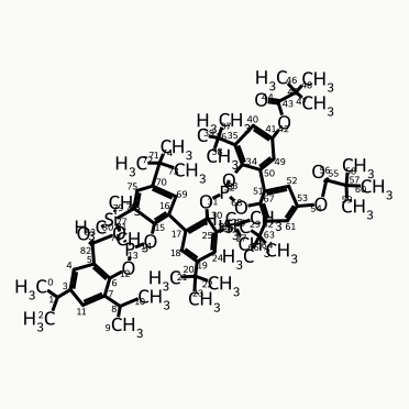 CC(C)c1cc2c(c(C(C)C)c1)OP(Oc1c(-c3cc(C(C)(C)C)cc([Si](C)(C)C)c3Op3oc4c(C(C)(C)C)cc(OC(=O)C(C)(C)C)cc4c4cc(OC(=O)C(C)(C)C)cc(C(C)(C)C)c4o3)cc(C(C)(C)C)cc1[Si](C)(C)C)OC2=O